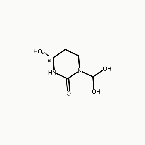 O=C1N[C@H](O)CCN1C(O)O